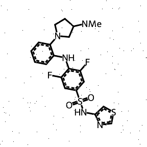 CNC1CCN(c2ccccc2Nc2c(F)cc(S(=O)(=O)Nc3cscn3)cc2F)C1